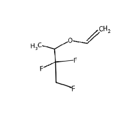 C=COC(C)C(F)(F)CF